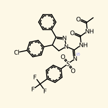 CC(=O)NC(=O)N/C(=N/S(=O)(=O)c1ccc(C(F)(F)F)cc1)N1CC(c2ccc(Cl)cc2)C(c2ccccc2)=N1